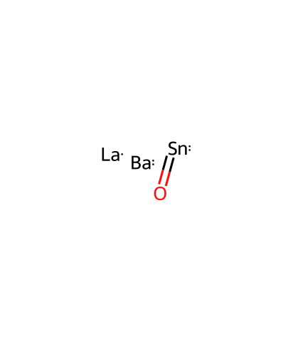 [Ba].[La].[O]=[Sn]